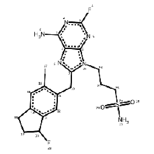 Nc1nc(F)nc2c1nc(Cc1cc3c(cc1I)CCC3F)n2CCCS(N)(=O)=O